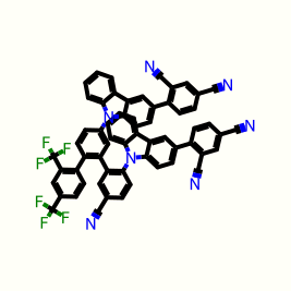 N#Cc1ccc(-c2ccc3c(c2)c2ccccc2n3-c2ccc(-c3ccc(C(F)(F)F)cc3C(F)(F)F)c(-c3cc(C#N)ccc3-n3c4ccccc4c4cc(-c5ccc(C#N)cc5C#N)ccc43)c2)c(C#N)c1